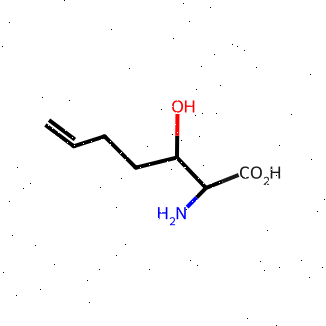 C=CCCC(O)C(N)C(=O)O